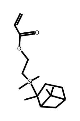 C=CC(=O)OCC[Si](C)(C)C1(C)CCC2CC1C2(C)C